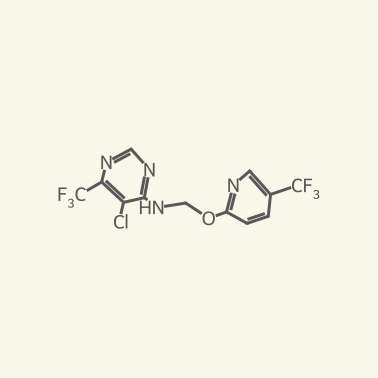 FC(F)(F)c1ccc(OCNc2ncnc(C(F)(F)F)c2Cl)nc1